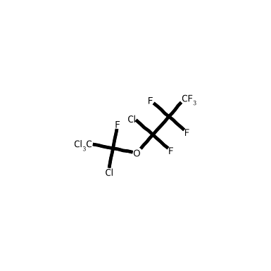 FC(F)(F)C(F)(F)C(F)(Cl)OC(F)(Cl)C(Cl)(Cl)Cl